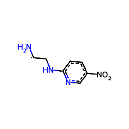 N[CH]CNc1ccc([N+](=O)[O-])cn1